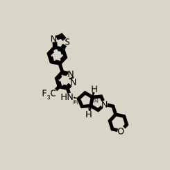 FC(F)(F)c1cc(-c2ccc3ncsc3c2)nnc1N[C@@H]1C[C@@H]2CN(CC3CCOCC3)C[C@@H]2C1